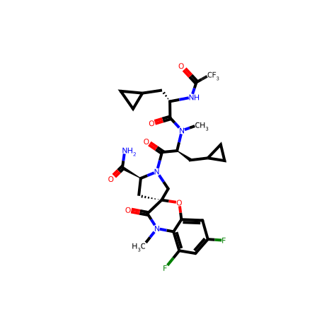 CN1C(=O)[C@]2(C[C@@H](C(N)=O)N(C(=O)[C@H](CC3CC3)N(C)C(=O)[C@H](CC3CC3)NC(=O)C(F)(F)F)C2)Oc2cc(F)cc(F)c21